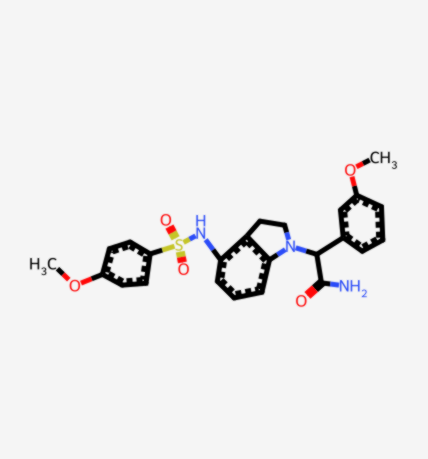 COc1ccc(S(=O)(=O)Nc2cccc3c2CCN3C(C(N)=O)c2cccc(OC)c2)cc1